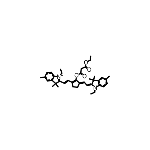 CCOC(=O)CC(=O)OC1=C(/C=C/C2=[N+](CC)c3ccc(C)cc3C2(C)C)CC/C1=C\C=C1\N(CC)c2ccc(C)cc2C1(C)C